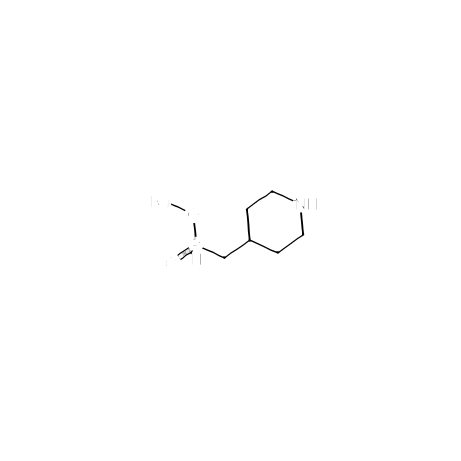 CC(C)(C)O[PH](=O)[CH]C1CCNCC1